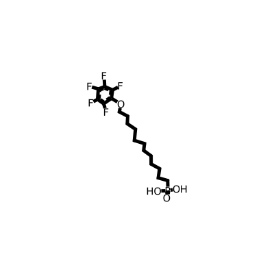 O=P(O)(O)CCCCCCCCCCCCOc1c(F)c(F)c(F)c(F)c1F